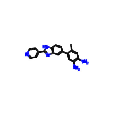 Cc1cc(N)c(N)cc1-c1ccc2[nH]c(-c3ccncc3)nc2c1